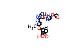 Cc1nc(-c2nnn(C)c2COc2nccc(O[C@@H]3CCOC3)n2)ccc1O[C@@H]1C[C@@H]2CC[C@@H](C(=O)O)[C@@H]2C1